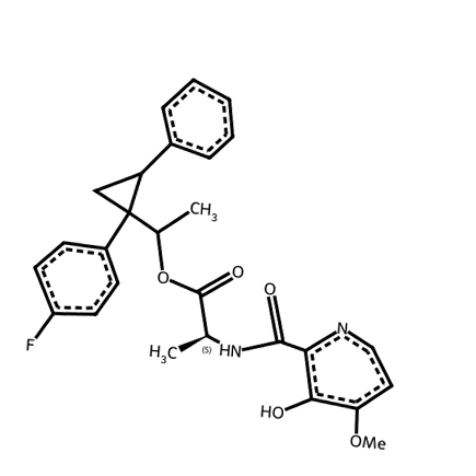 COc1ccnc(C(=O)N[C@@H](C)C(=O)OC(C)C2(c3ccc(F)cc3)CC2c2ccccc2)c1O